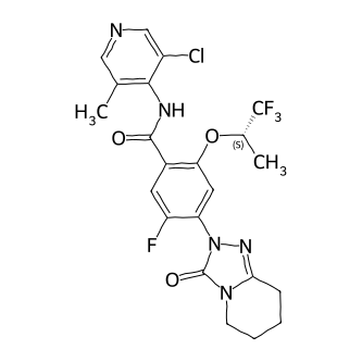 Cc1cncc(Cl)c1NC(=O)c1cc(F)c(-n2nc3n(c2=O)CCCC3)cc1O[C@@H](C)C(F)(F)F